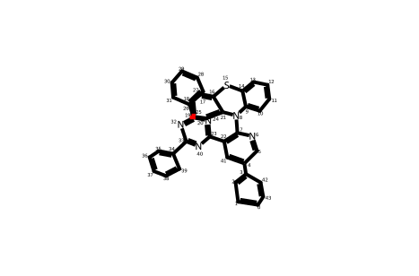 c1ccc(-c2cnc(N3c4ccccc4Sc4ccccc43)c(-c3nc(-c4ccccc4)nc(-c4ccccc4)n3)c2)cc1